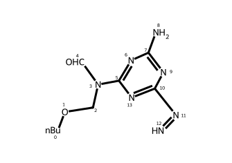 CCCCOCN(C=O)c1nc(N)nc(N=N)n1